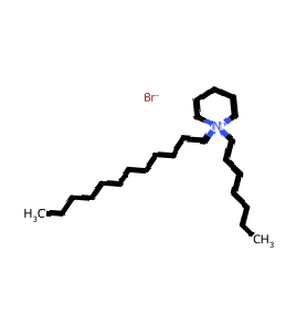 CCCCCCCCCCCC[N+]1(CCCCCCC)CCCCC1.[Br-]